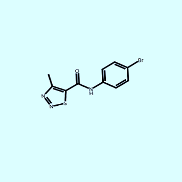 Cc1nnsc1C(=O)Nc1ccc(Br)cc1